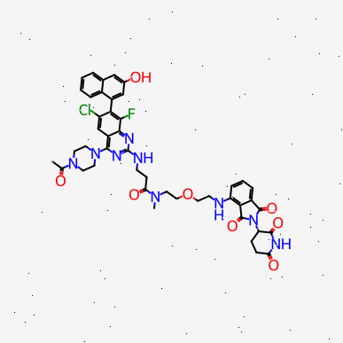 CC(=O)N1CCN(c2nc(NCCC(=O)N(C)CCOCCNc3cccc4c3C(=O)N(C3CCC(=O)NC3=O)C4=O)nc3c(F)c(-c4cc(O)cc5ccccc45)c(Cl)cc23)CC1